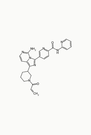 C=CC(=O)N1CCCC(c2nc(-c3ccc(C(=O)Nc4ccccn4)nc3)n3c(N)nccc23)C1